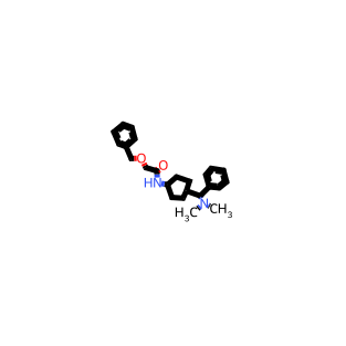 CN(C)C(c1ccccc1)C1CCC(NC(=O)COCc2ccccc2)CC1